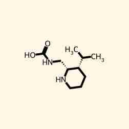 CC(C)[C@@H]1CCCN[C@@H]1CNC(=O)O